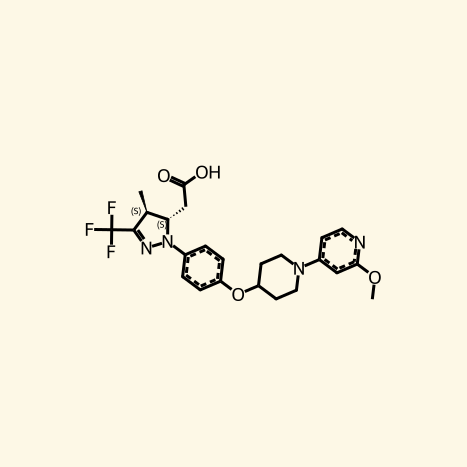 COc1cc(N2CCC(Oc3ccc(N4N=C(C(F)(F)F)[C@@H](C)[C@@H]4CC(=O)O)cc3)CC2)ccn1